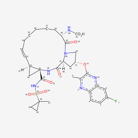 Cc1nc2ccc(F)cc2nc1O[C@@H]1C[C@H]2C(=O)N[C@]3(C(=O)NS(=O)(=O)C4(C)CC4)C[C@H]3/C=C\CCCCC[C@H](NC(=O)O)C(=O)N2C1